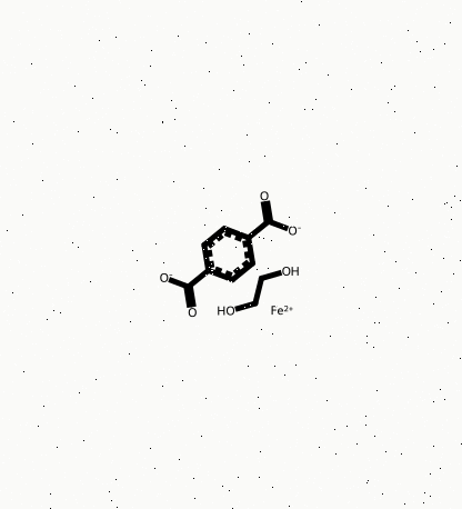 O=C([O-])c1ccc(C(=O)[O-])cc1.OCCO.[Fe+2]